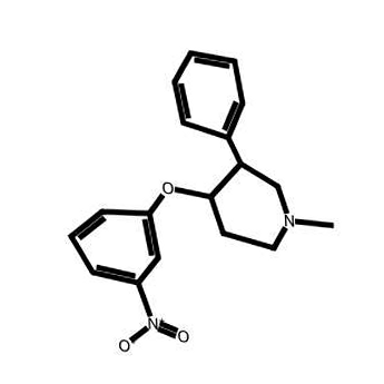 CN1CCC(Oc2cccc([N+](=O)[O-])c2)C(c2ccccc2)C1